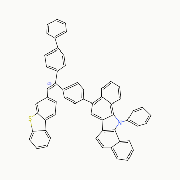 C(=C(\c1ccc(-c2ccccc2)cc1)c1ccc(-c2cc3c4ccc5ccccc5c4n(-c4ccccc4)c3c3ccccc23)cc1)/c1ccc2c(c1)sc1ccccc12